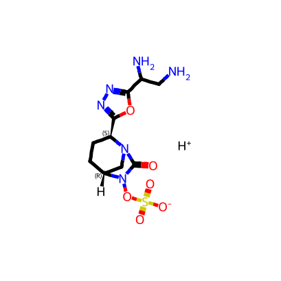 NCC(N)c1nnc([C@@H]2CC[C@@H]3CN2C(=O)N3OS(=O)(=O)[O-])o1.[H+]